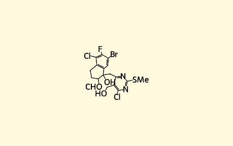 CSc1nc(Cl)c(CO)c(CC2(O)c3cc(Br)c(F)c(Cl)c3CCC2C=O)n1